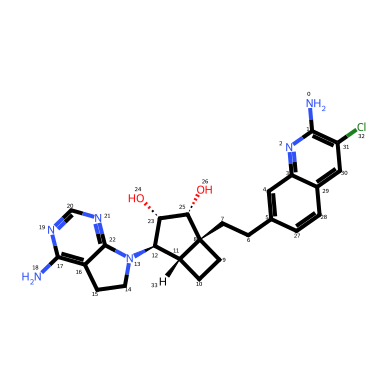 Nc1nc2cc(CC[C@@]34CC[C@@H]3[C@@H](N3CCc5c(N)ncnc53)[C@H](O)[C@@H]4O)ccc2cc1Cl